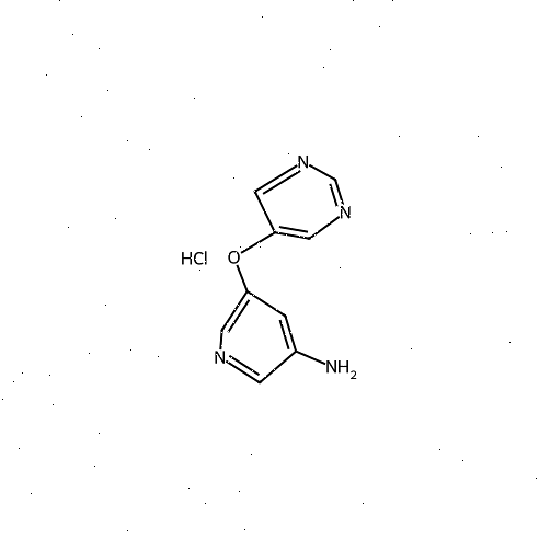 Cl.Nc1cncc(Oc2cncnc2)c1